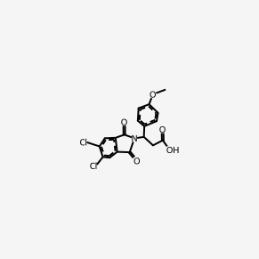 COc1ccc(C(CC(=O)O)N2C(=O)c3cc(Cl)c(Cl)cc3C2=O)cc1